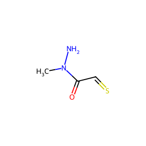 CN(N)C(=O)C=S